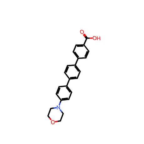 O=C(O)c1ccc(-c2ccc(-c3ccc(N4CCOCC4)cc3)cc2)cc1